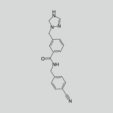 N#Cc1ccc(CNC(=O)c2cccc(CN3CNC=N3)c2)cc1